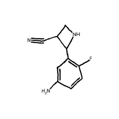 N#CC1CNC1c1cc(N)ccc1F